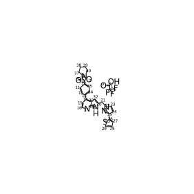 O=C(O)C(F)(F)F.O=S(=O)(c1ccc(-c2ccnc3[nH]c(Cn4ccc(-c5cccs5)n4)cc23)cc1)N1CCCC1